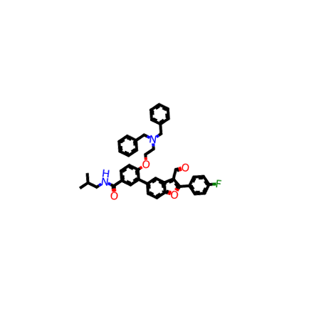 CC(C)CNC(=O)c1ccc(OCCN(Cc2ccccc2)Cc2ccccc2)c(-c2ccc3oc(-c4ccc(F)cc4)c(C=O)c3c2)c1